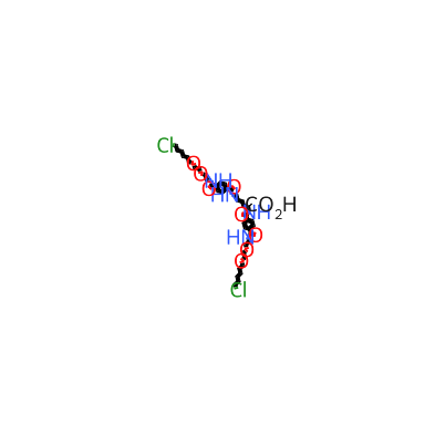 O=C(NCCCC[C@H](NC(=O)c1ccc(C(=O)NCCOCCOCCCCCCCl)cc1)C(=O)O)c1ccc(C(=O)NCCOCCOCCCCCCCl)cc1